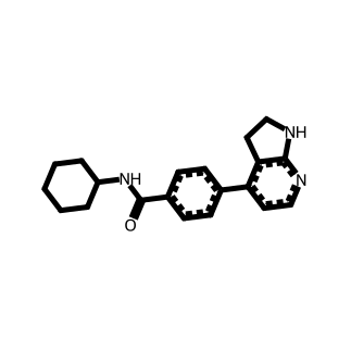 O=C(NC1CCCCC1)c1ccc(-c2ccnc3c2CCN3)cc1